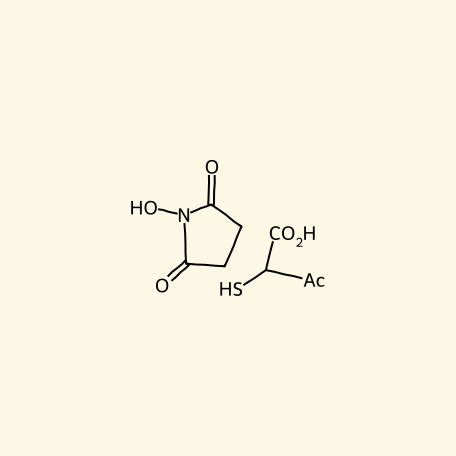 CC(=O)C(S)C(=O)O.O=C1CCC(=O)N1O